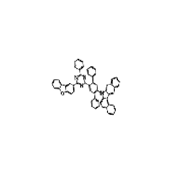 c1ccc(-c2nc(-c3ccc4oc5ccccc5c4c3)nc(-c3cc(-c4ccccc4)c(-n4c5cc6ccccc6cc5c5c6ccccc6ccc54)cc3-c3ccccc3)n2)cc1